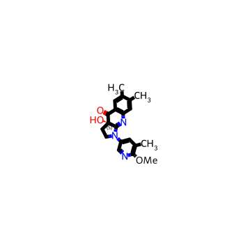 COc1ncc(N2CC[C@@]3(O)C(=O)c4cc(C)c(C)cc4N=C23)cc1C